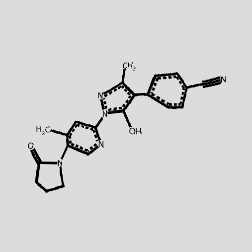 Cc1cc(-n2nc(C)c(-c3ccc(C#N)cc3)c2O)ncc1N1CCCC1=O